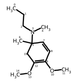 CCCN(C)C1(C)C=CC(OC)=C(OC)C1